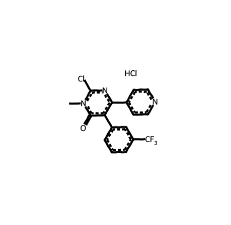 Cl.Cn1c(Cl)nc(-c2ccncc2)c(-c2cccc(C(F)(F)F)c2)c1=O